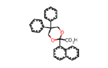 O=C(O)C1(c2cccc3ccccc23)OCC(c2ccccc2)(c2ccccc2)CO1